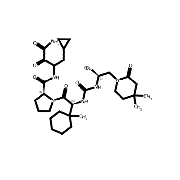 CC1(C)CCN(C[C@@H](NC(=O)N[C@H](C(=O)N2CCC[C@H]2C(=O)NC(CC2CC2)C(=O)C(N)=O)C2(C)CCCCC2)C(C)(C)C)C(=O)C1